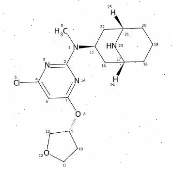 CN(c1nc(Cl)cc(O[C@@H]2CCOC2)n1)[C@@H]1C[C@H]2CCC[C@@H](C1)N2